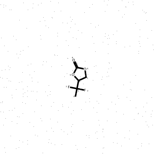 CC(F)(F)C1COC(=O)O1